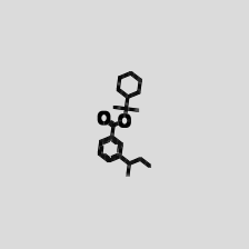 CCC(C)c1cccc(C(=O)OC(C)(C)C2CCCCC2)c1